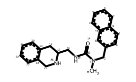 CN(Cc1ccc2ccccc2c1)C(=O)NCC1Cc2ccccc2CN1